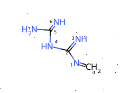 C=NC(=N)NC(=N)N